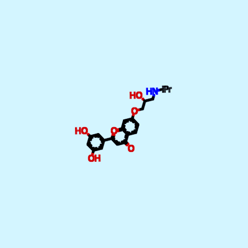 CC(C)NC[C@H](O)COc1ccc2c(=O)cc(-c3cc(O)cc(O)c3)oc2c1